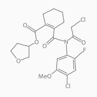 COc1cc(N(C(=O)CCl)C(=O)C2=C(C(=O)OC3CCOC3)CCCC2)c(F)cc1Cl